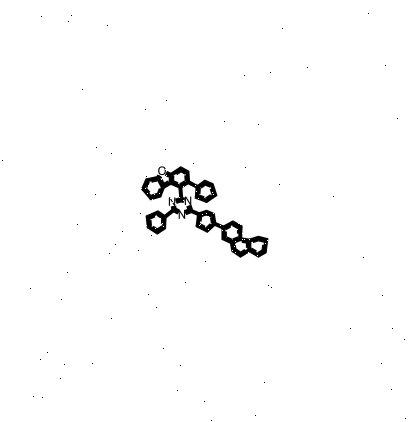 c1ccc(-c2nc(-c3ccc(-c4ccc5c(ccc6ccccc65)c4)cc3)nc(-c3c(-c4ccccc4)ccc4oc5ccccc5c34)n2)cc1